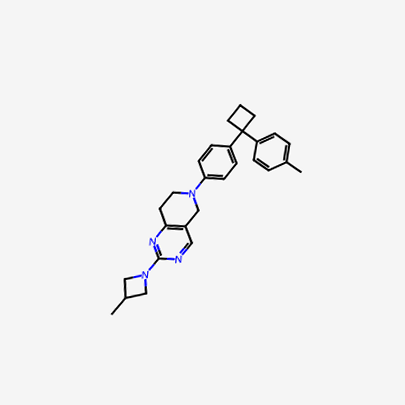 Cc1ccc(C2(c3ccc(N4CCc5nc(N6CC(C)C6)ncc5C4)cc3)CCC2)cc1